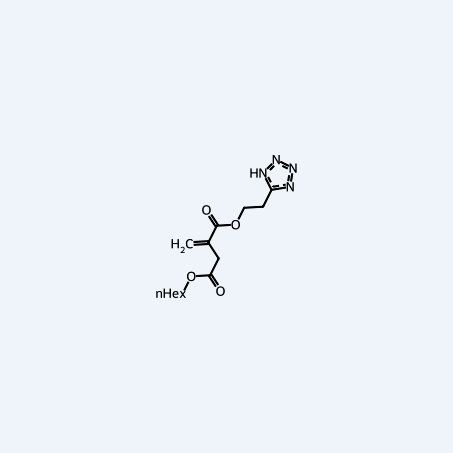 C=C(CC(=O)OCCCCCC)C(=O)OCCc1nnn[nH]1